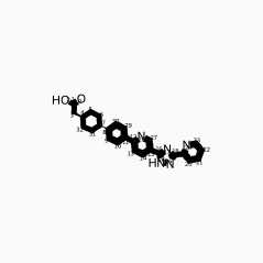 O=C(O)C[C@H]1CC[C@H](c2ccc(-c3ccc(-c4nc(-c5ccccn5)n[nH]4)cn3)cc2)CC1